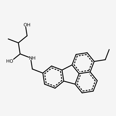 CCc1ccc2c3c(cccc13)-c1ccc(CNC(O)C(C)CO)cc1-2